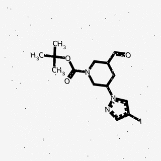 CC(C)(C)OC(=O)N1CC(C=O)CC(n2cc(I)cn2)C1